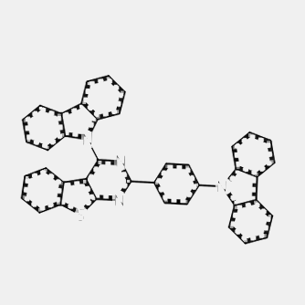 c1ccc2c(c1)sc1nc(-c3ccc(-n4c5ccccc5c5ccccc54)cc3)nc(-n3c4ccccc4c4ccccc43)c12